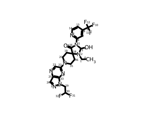 CCN1C(O)N(c2cc(C(F)(F)F)ccn2)C(=O)C12CCN(c1cnc3cnn(CC(F)F)c3n1)CC2